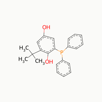 CC(C)(C)c1cc(O)cc(P(c2ccccc2)c2ccccc2)c1O